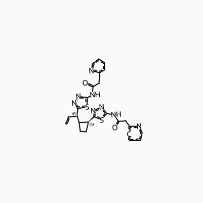 C=C[C@@H](c1nnc(NC(=O)Cc2ccccn2)s1)C1CC[C@@H]1c1nnc(NC(=O)Cc2ccccn2)s1